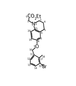 CCOC(=O)CN1CCCc2cc(OCc3cccc(Br)c3C)ccc21